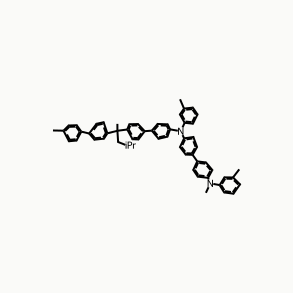 Cc1ccc(-c2ccc(C(C)(CC(C)C)c3ccc(-c4ccc(N(c5ccc(-c6ccc(N(C)c7cccc(C)c7)cc6)cc5)c5cccc(C)c5)cc4)cc3)cc2)cc1